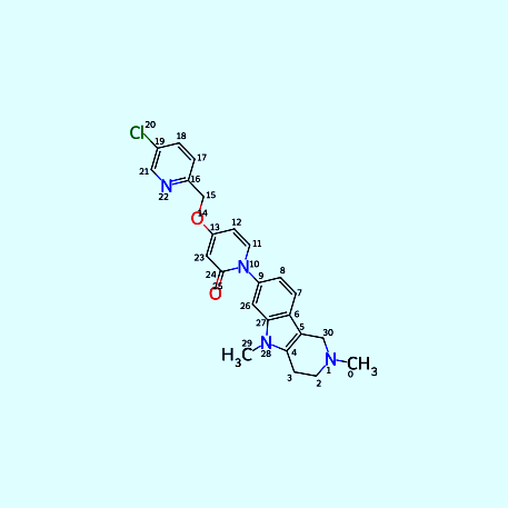 CN1CCc2c(c3ccc(-n4ccc(OCc5ccc(Cl)cn5)cc4=O)cc3n2C)C1